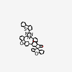 C1=CC(c2ccc3c(c2)C2(c4ccccc4Oc4ccccc42)c2ccccc2-3)Cc2c1oc1cccc(-c3nc(-c4ccccc4)nc(-c4cccc5c4sc4ccccc45)n3)c21